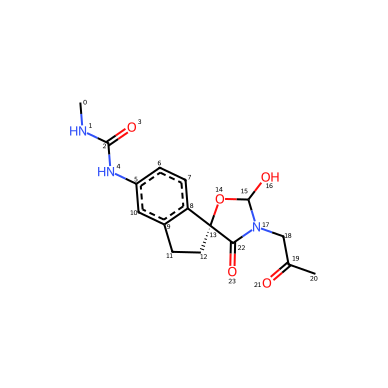 CNC(=O)Nc1ccc2c(c1)CC[C@@]21OC(O)N(CC(C)=O)C1=O